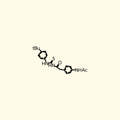 CC(=O)Nc1ccc(CC(=O)NC(=S)Nc2ccc(C(C)(C)C)cc2)cc1